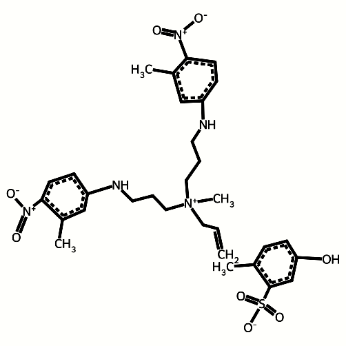 C=CC[N+](C)(CCCNc1ccc([N+](=O)[O-])c(C)c1)CCCNc1ccc([N+](=O)[O-])c(C)c1.Cc1ccc(O)cc1S(=O)(=O)[O-]